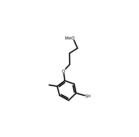 COCCCOc1cc(S)ccc1C